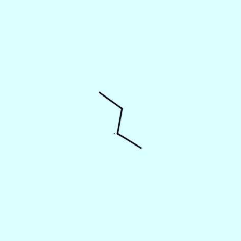 C[CH]CC